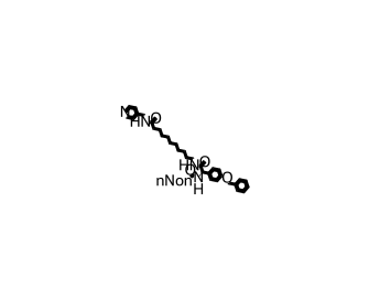 CCCCCCCCCC(=O)N[C@H](C(=O)NCCCCCCCCCCC(=O)NCc1ccncc1)c1ccc(OCc2ccccc2)cc1